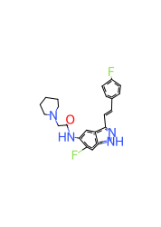 O=C(CN1CCCCC1)Nc1cc2c(/C=C/c3ccc(F)cc3)n[nH]c2cc1F